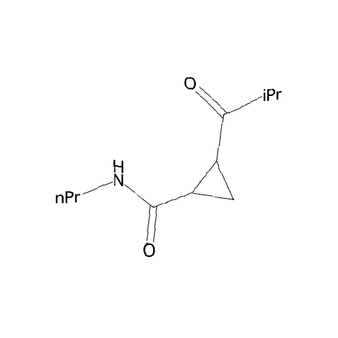 CCCNC(=O)C1CC1C(=O)C(C)C